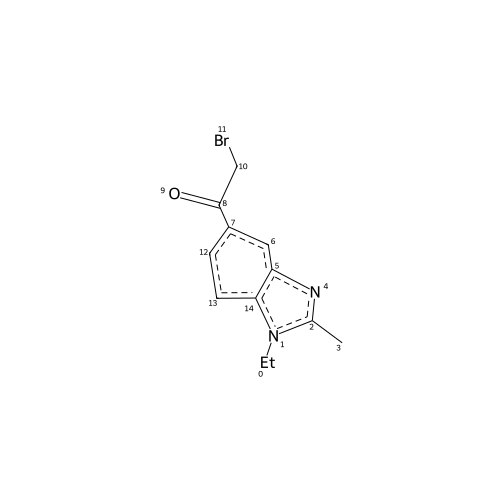 CCn1c(C)nc2cc(C(=O)CBr)ccc21